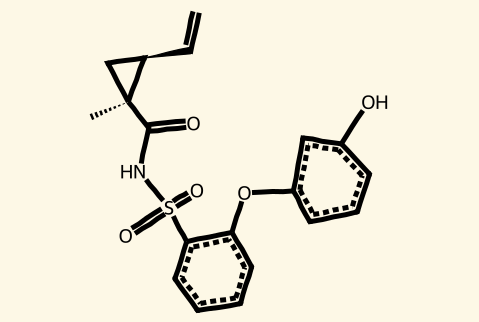 C=C[C@@H]1C[C@]1(C)C(=O)NS(=O)(=O)c1ccccc1Oc1cccc(O)c1